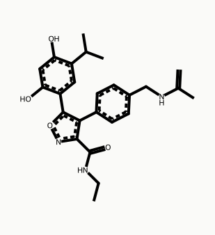 C=C(C)NCc1ccc(-c2c(C(=O)NCC)noc2-c2cc(C(C)C)c(O)cc2O)cc1